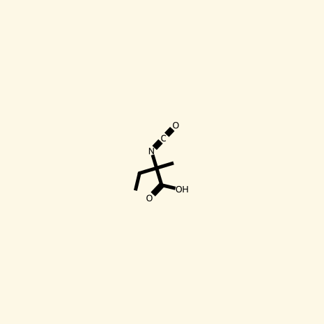 CCC(C)(N=C=O)C(=O)O